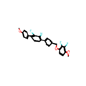 COc1ccc(-c2ccc(-c3ccc(COc4ccc(OC)c(F)c4F)cc3)c(F)c2F)cc1